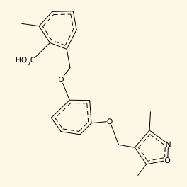 Cc1cccc(COc2cccc(OCc3c(C)noc3C)c2)c1C(=O)O